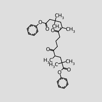 CC(CC(C)(C)CC(=O)Oc1ccccc1)C(=O)CCCC(=O)C(C)CC(C)(C)C(=O)Oc1ccccc1